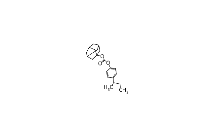 CCC(C)c1ccc(OC(=O)OC23CC4CC(CC(C4)C2)C3)cc1